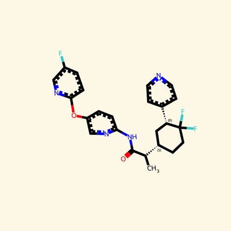 CC(C(=O)Nc1ccc(Oc2ccc(F)cn2)cn1)[C@H]1CCC(F)(F)[C@@H](c2ccncc2)C1